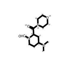 CN(C)C1CCN([C]=O)C(C(=O)N2CCOCC2)C1